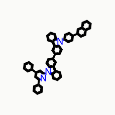 c1ccc(-c2cc(-c3ccccc3)nc(-n3c4ccccc4c4cc(-c5ccc6c(c5)c5ccccc5n6-c5ccc(-c6ccc7ccccc7c6)cc5)ccc43)c2)cc1